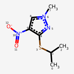 CC(C)Sc1nn(C)cc1[N+](=O)[O-]